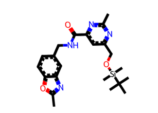 Cc1nc(CO[Si](C)(C)C(C)(C)C)cc(C(=O)NCc2ccc3oc(C)nc3c2)n1